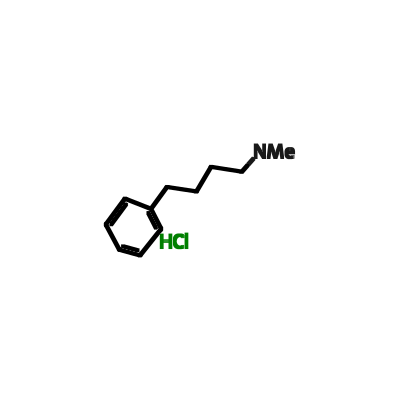 CNCCCCc1ccccc1.Cl